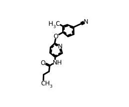 CCCC(=O)Nc1ccc(Oc2ccc(C#N)cc2C)nc1